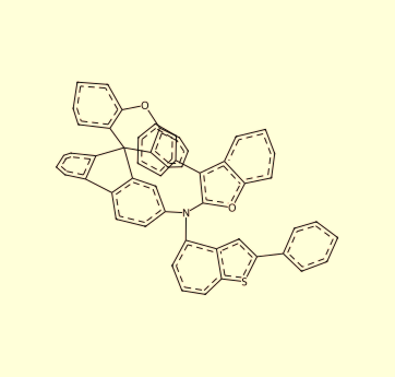 c1ccc(-c2cc3c(N(c4ccc5c(c4)C4(c6ccccc6Oc6ccccc64)c4ccccc4-5)c4oc5ccccc5c4-c4ccccc4)cccc3s2)cc1